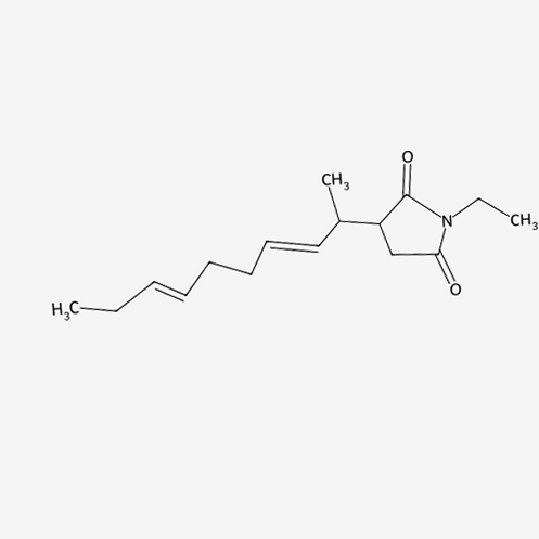 CCC=CCCC=CC(C)C1CC(=O)N(CC)C1=O